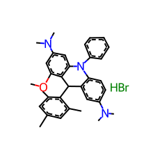 Br.COc1cc(N(C)C)cc2c1C(c1c(C)cc(C)cc1C)c1cc(N(C)C)ccc1N2c1ccccc1